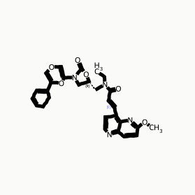 CCN(C[C@@H]1CN(C2=COC=C(C3=CC=CCC3)O2)C(=O)O1)C(=O)/C=C/c1ccnc2ccc(OC)nc12